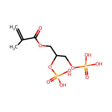 C=C(C)C(=O)OCC(COP(=O)(O)O)OP(=O)(O)O